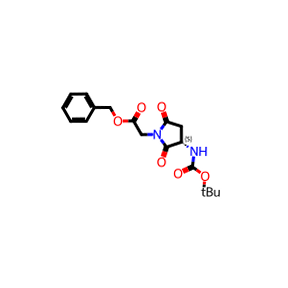 CC(C)(C)OC(=O)N[C@H]1CC(=O)N(CC(=O)OCc2ccccc2)C1=O